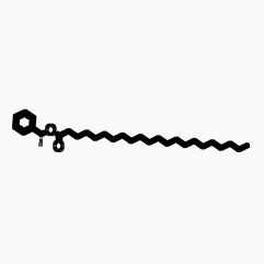 CCCCCCCCCCCCCCCCCCCCCC(=O)O[C@H](C)c1ccccc1